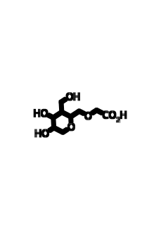 O=C(O)COCC1OCC(O)C(O)C1CO